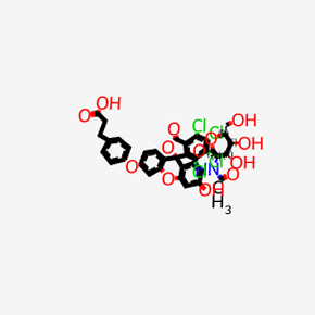 CC(=O)N[C@H]1[C@H](Oc2cc(O)cc3c2C2(OC(=O)c4c(Cl)c(Cl)c(Cl)c(Cl)c42)c2ccc(Oc4ccc(CCC(=O)O)cc4)cc2O3)O[C@H](CO)[C@@H](O)[C@@H]1O